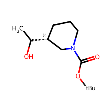 CC(O)[C@@H]1CCCN(C(=O)OC(C)(C)C)C1